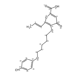 C/C=C/c1oc(C(=O)O)cc(=O)c1OCCCCCOc1ccc(Cl)cc1